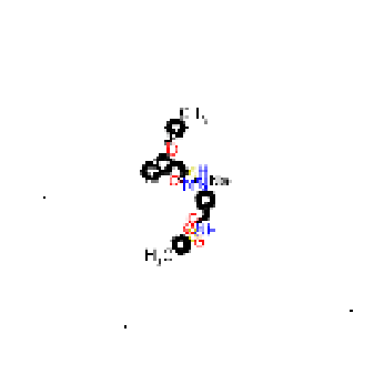 Cc1ccc(COc2cc3ccccc3cc2C=C2SC(Nc3ccc(CC(=O)NS(=O)(=O)c4ccc(C)cc4)cc3)=NC2=O)cc1.[Na]